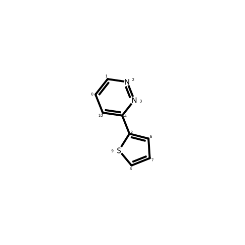 c1cnnc(-c2cccs2)c1